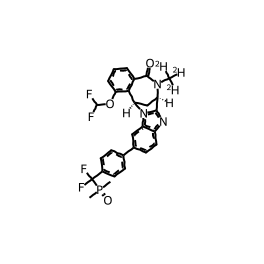 [2H]C([2H])([2H])N1C(=O)c2cccc(OC(F)F)c2[C@H]2C[C@@H]1c1nc3ccc(-c4ccc(C(F)(F)P(C)(C)=O)cc4)cc3n12